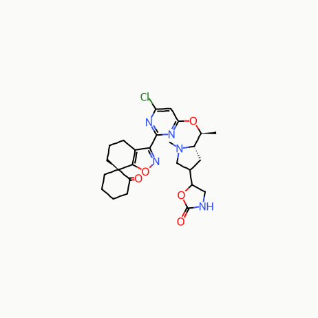 C[C@H](Oc1cc(Cl)nc(-c2noc3c2CCC[C@@]32CCCCC2=O)n1)[C@@H]1CC(C2CNC(=O)O2)CN1C